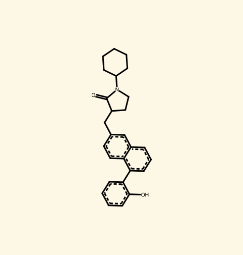 O=C1C(Cc2ccc3c(-c4ccccc4O)cccc3c2)CCN1C1CCCCC1